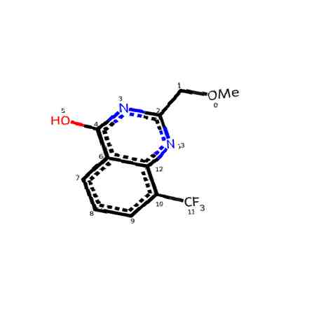 COCc1nc(O)c2cccc(C(F)(F)F)c2n1